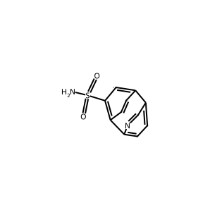 NS(=O)(=O)c1[c]c2ccc1-c1ccc-2cn1